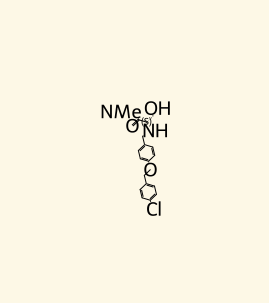 CNC(=O)[C@H](CO)NCc1ccc(OCc2ccc(Cl)cc2)cc1